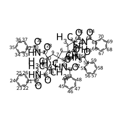 CCC(C)(CC(C)(CC(C)(CC(C)(CC(C)(C)C(=O)NC(=O)c1ccccc1)C(=O)NC(=O)c1ccccc1)C(=O)NC(=O)c1ccccc1)C(=O)NC(=O)c1ccccc1)C(=O)NC(=O)c1ccccc1